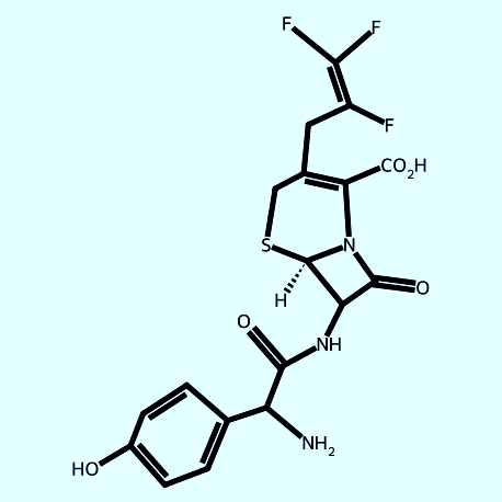 NC(C(=O)NC1C(=O)N2C(C(=O)O)=C(CC(F)=C(F)F)CS[C@H]12)c1ccc(O)cc1